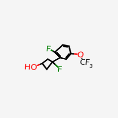 OC1CC(F)(c2cc(OC(F)(F)F)ccc2F)C1